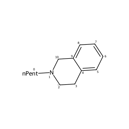 CCCCCN1[CH]Cc2ccccc2C1